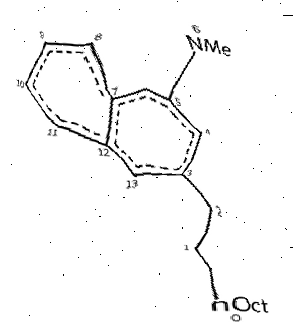 CCCCCCCCCCc1cc(NC)c2ccccc2c1